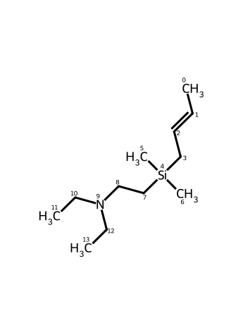 C/C=C/C[Si](C)(C)CCN(CC)CC